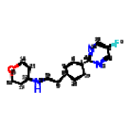 Fc1cnc([C@H]2CC[C@H](CCNC3CCOCC3)CC2)nc1